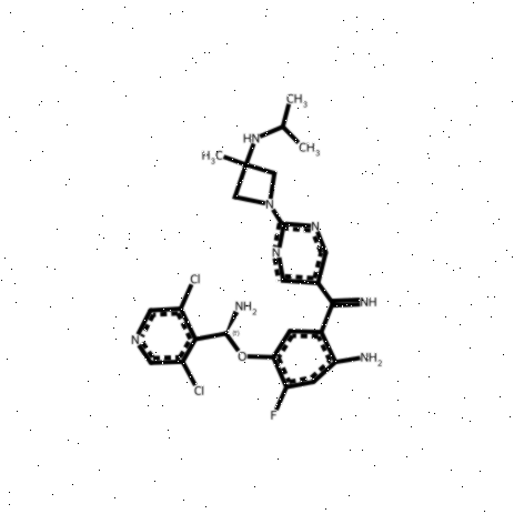 CC(C)NC1(C)CN(c2ncc(C(=N)c3cc(O[C@H](N)c4c(Cl)cncc4Cl)c(F)cc3N)cn2)C1